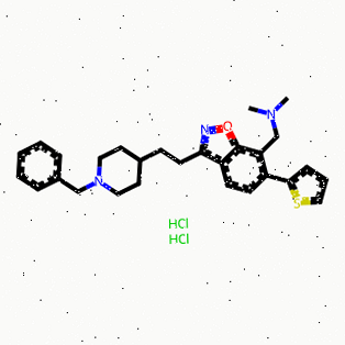 CN(C)Cc1c(-c2cccs2)ccc2c(CCC3CCN(Cc4ccccc4)CC3)noc12.Cl.Cl